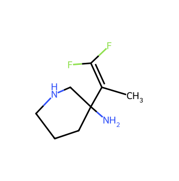 CC(=C(F)F)C1(N)CCCNC1